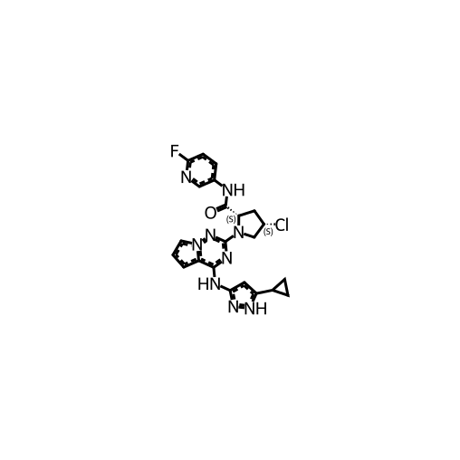 O=C(Nc1ccc(F)nc1)[C@@H]1C[C@H](Cl)CN1c1nc(Nc2cc(C3CC3)[nH]n2)c2cccn2n1